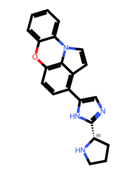 c1ccc2c(c1)Oc1ccc(-c3cnc([C@@H]4CCCN4)[nH]3)c3ccn-2c13